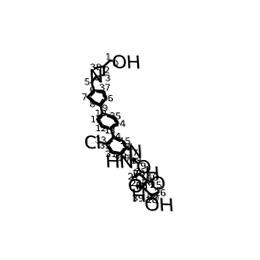 OCC1CN(Cc2ccc(-c3ccc(-c4cc5nc(O[C@@H]6CO[C@H]7[C@@H]6OC[C@H]7O)[nH]c5cc4Cl)cc3)cc2)C1